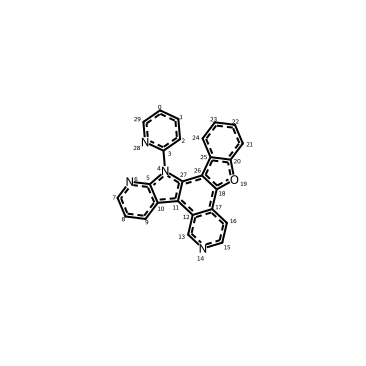 c1ccc(-n2c3ncccc3c3c4cnccc4c4oc5ccccc5c4c32)nc1